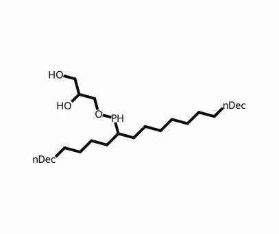 CCCCCCCCCCCCCCCCCC(CCCCCCCCCCCCCC)POCC(O)CO